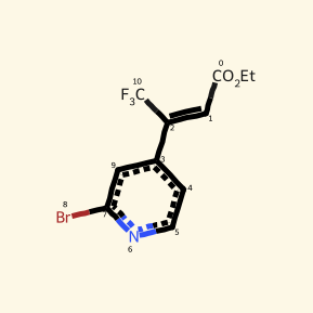 CCOC(=O)/C=C(/c1ccnc(Br)c1)C(F)(F)F